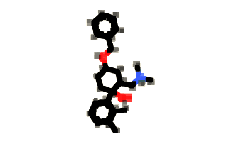 Cc1cccc(C2(O)CCC(OCc3ccccc3)CC2CN(C)C)c1C